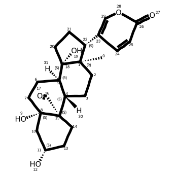 C[C@]12CC[C@H]3[C@@H](CC[C@]4(O)C[C@@H](O)CC[C@]34C=O)[C@@]1(O)CC[C@@H]2c1ccc(=O)oc1